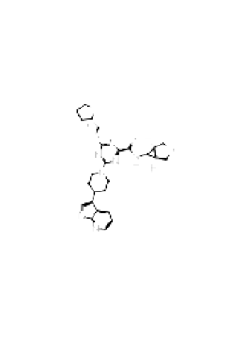 O=C(NC1[C@H]2COC[C@@H]12)c1nc(OC[C@H]2CCCO2)nc(N2CCC(c3c[nH]c4ncccc34)CC2)n1